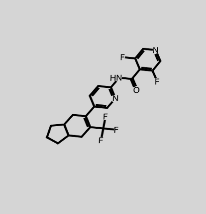 O=C(Nc1ccc(C2=C(C(F)(F)F)CC3CCCC3C2)cn1)c1c(F)cncc1F